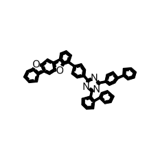 c1ccc(-c2ccc(-c3nc(-c4ccc(-c5cccc6c5oc5cc7c(cc56)oc5ccccc57)cc4)nc(-c4ccccc4-c4ccccc4)n3)cc2)cc1